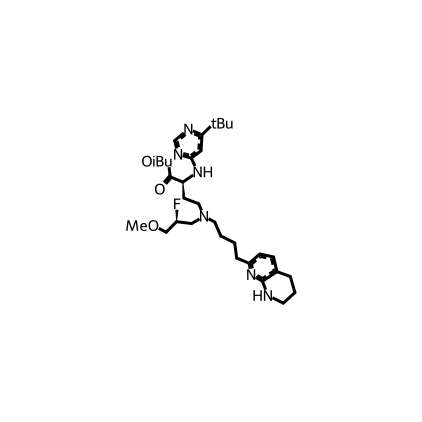 COC[C@@H](F)CN(CCCCc1ccc2c(n1)NCCC2)CC[C@H](Nc1cc(C(C)(C)C)ncn1)C(=O)OCC(C)C